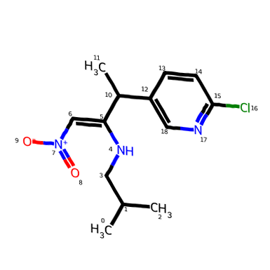 CC(C)CNC(=C[N+](=O)[O-])C(C)c1ccc(Cl)nc1